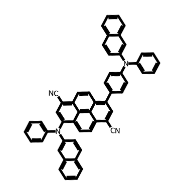 N#Cc1cc(-c2ccc(N(c3ccccc3)c3ccc4ccccc4c3)cc2)c2ccc3c(C#N)cc(N(c4ccccc4)c4ccc5ccccc5c4)c4ccc1c2c34